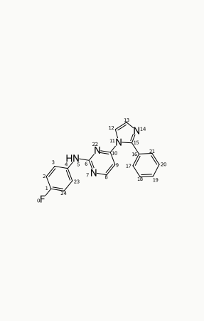 Fc1ccc(Nc2nccc(-n3ccnc3-c3ccccc3)n2)cc1